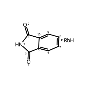 O=C1NC(=O)c2ccccc21.[RbH]